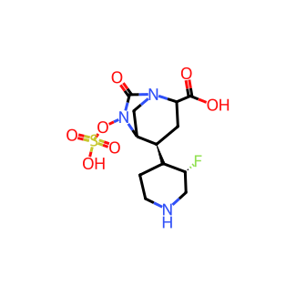 O=C(O)C1C[C@@H](C2CCNC[C@H]2F)C2CN1C(=O)N2OS(=O)(=O)O